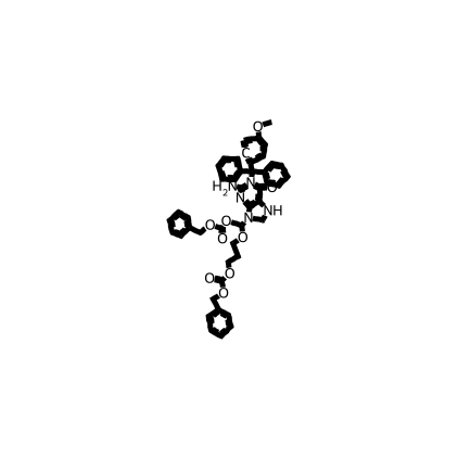 COc1ccc(C(c2ccccc2)(c2ccccc2)n2c(N)nc3c(c2=O)NCN3C(OCCCOC(=O)OCc2ccccc2)OC(=O)OCc2ccccc2)cc1